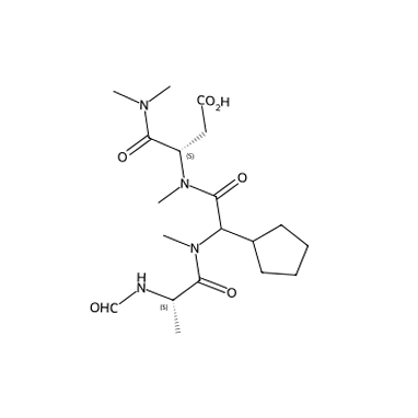 C[C@H](NC=O)C(=O)N(C)C(C(=O)N(C)[C@@H](CC(=O)O)C(=O)N(C)C)C1CCCC1